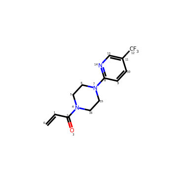 C=CC(=O)N1CCN(c2ccc(C(F)(F)F)cn2)CC1